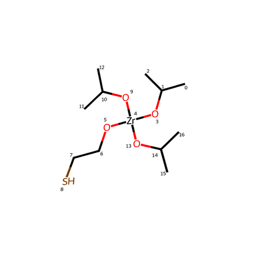 CC(C)[O][Zr]([O]CCS)([O]C(C)C)[O]C(C)C